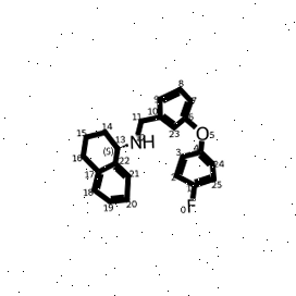 Fc1ccc(Oc2cccc(CN[C@H]3CCCc4ccccc43)c2)cc1